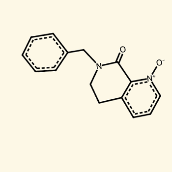 O=C1c2c(ccc[n+]2[O-])CCN1Cc1ccccc1